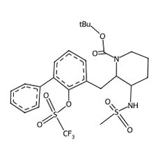 CC(C)(C)OC(=O)N1CCCC(NS(C)(=O)=O)C1Cc1cccc(-c2ccccc2)c1OS(=O)(=O)C(F)(F)F